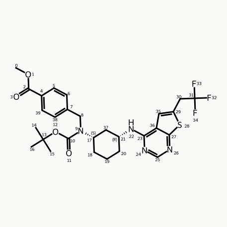 COC(=O)c1ccc(CN(C(=O)OC(C)(C)C)[C@H]2CCC[C@@H](Nc3ncnc4sc(CC(F)(F)F)cc34)C2)cc1